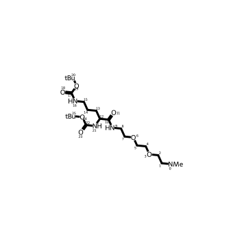 CNCCOCCOCCNC(=O)C(CCCNC(=O)OC(C)(C)C)NC(=O)OC(C)(C)C